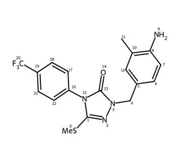 CSc1nn(Cc2ccc(N)c(C)c2)c(=O)n1-c1ccc(C(F)(F)F)cc1